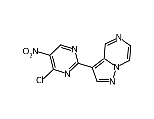 O=[N+]([O-])c1cnc(-c2cnn3ccncc23)nc1Cl